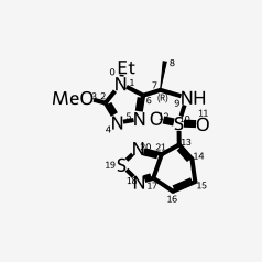 CCn1c(OC)nnc1[C@@H](C)NS(=O)(=O)c1cccc2nsnc12